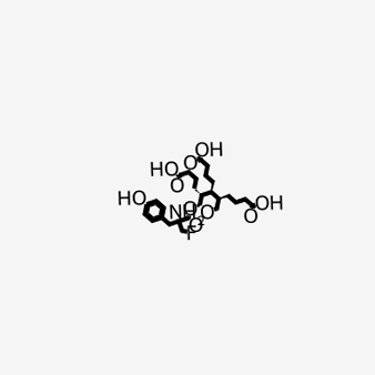 NC(CF)(Cc1ccc(O)cc1)C(=O)O[C@@H]1OC[C@H](CCCC(=O)O)[C@H](CCCC(=O)O)[C@H]1CCCC(=O)O